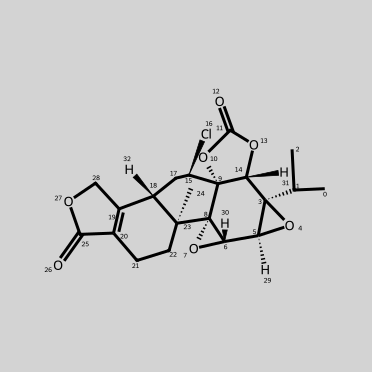 CC(C)[C@]12O[C@H]1[C@@H]1O[C@]13[C@@]1(OC(=O)O[C@H]21)[C@H](Cl)C[C@H]1C2=C(CC[C@@]13C)C(=O)OC2